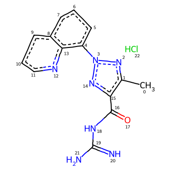 Cc1nn(-c2cccc3cccnc23)nc1C(=O)NC(=N)N.Cl